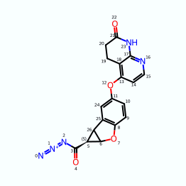 [N-]=[N+]=NC(=O)[C@@H]1C2Oc3ccc(Oc4ccnc5c4CCC(=O)N5)cc3C21